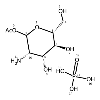 CC(=O)OC1O[C@H](CO)[C@@H](O)[C@H](O)[C@@H]1N.O=P(O)(O)O